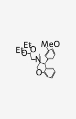 CCOC(CN(C)[C@H]1COc2ccccc2[C@@H]1c1cccc(OC)c1)OCC